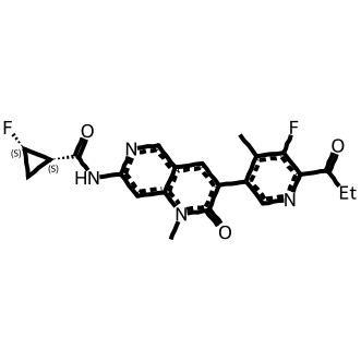 CCC(=O)c1ncc(-c2cc3cnc(NC(=O)[C@@H]4C[C@@H]4F)cc3n(C)c2=O)c(C)c1F